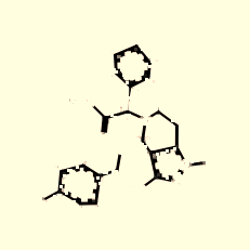 CCn1nc(C)c2c1CCN([C@@H](C(=O)NC)c1ccccc1)[C@H]2CCc1ccc(Cl)cc1